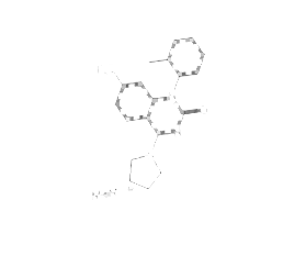 CN[C@H]1CCN(c2nc(=O)n(-c3ccccc3C)c3cc(C(F)(F)F)ccc23)C1